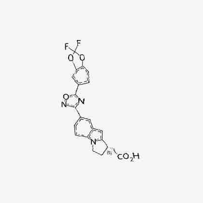 O=C(O)C[C@@H]1CCn2c1cc1cc(-c3noc(-c4ccc5c(c4)OC(F)(F)O5)n3)ccc12